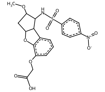 COC1CC2Oc3c(OCC(=O)O)cccc3C2C1NS(=O)(=O)c1ccc([N+](=O)[O-])cc1